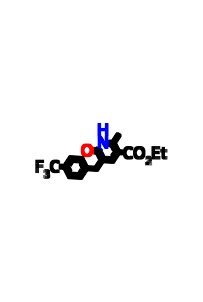 CCOC(=O)c1cc(Cc2ccc(C(F)(F)F)cc2)c(=O)[nH]c1C